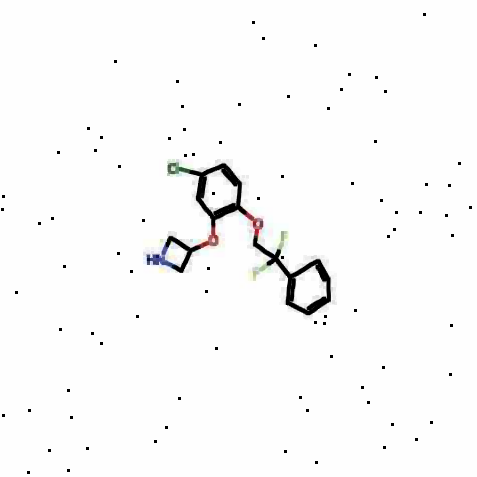 FC(F)(COc1ccc(Cl)cc1OC1CNC1)c1ccccc1